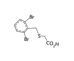 O=C(O)CSCc1c(Br)cccc1Br